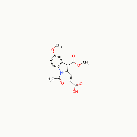 COC(=O)C1c2cc(OC)ccc2N(C(C)=O)C1/C=C/C(=O)O